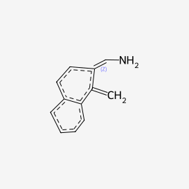 C=c1/c(=C\N)ccc2ccccc12